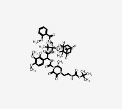 COc1ccccc1C(=O)OC[C@@](NC(=O)C(NC(=O)N1C(=O)C(=O)N(CCNC(=O)OC(C)(C)C)C[C@@H]1C)c1ccc(OC)c(OC)c1Cl)(B1O[C@@H]2C[C@@H]3C[C@@H](C3(C)C)[C@]2(C)O1)C(C)(C)C